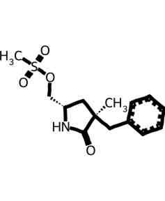 C[C@@]1(Cc2ccccc2)C[C@@H](COS(C)(=O)=O)NC1=O